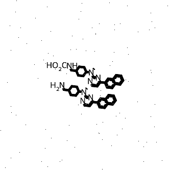 CN(c1nccc(-c2ccc3ccccc3c2)n1)C1CCC(CN)CC1.CN(c1nccc(-c2ccc3ccccc3c2)n1)C1CCC(CNC(=O)O)CC1